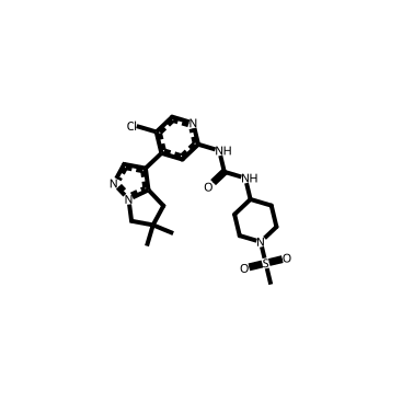 CC1(C)Cc2c(-c3cc(NC(=O)NC4CCN(S(C)(=O)=O)CC4)ncc3Cl)cnn2C1